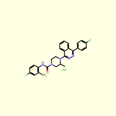 CC1CN(C(=O)Nc2ccc(F)cc2C(F)(F)F)CCN1c1nnc(-c2ccc(F)cc2)c2ccccc12.Cl